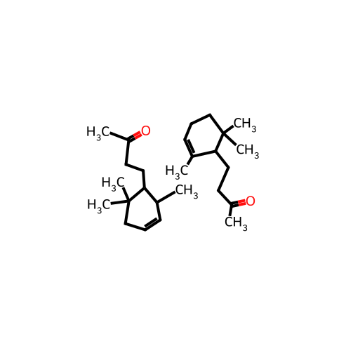 CC(=O)CCC1C(C)=CCCC1(C)C.CC(=O)CCC1C(C)C=CCC1(C)C